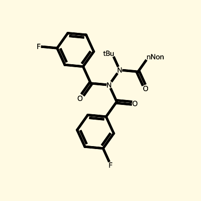 CCCCCCCCCC(=O)N(N(C(=O)c1cccc(F)c1)C(=O)c1cccc(F)c1)C(C)(C)C